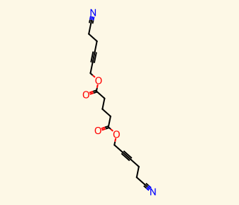 N#CCCC#CCOC(=O)CCCC(=O)OCC#CCCC#N